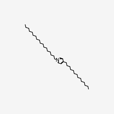 CCCCCCCCCCCCCCCCCC[n+]1ccc(CCCCCCCCCCCCCC)cc1